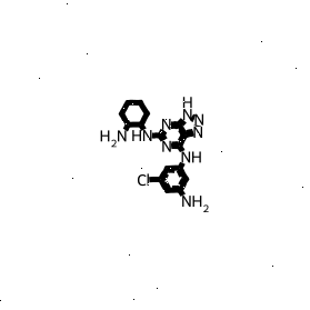 Nc1cc(Cl)cc(Nc2nc(NC3CCCCC3N)nc3[nH]nnc23)c1